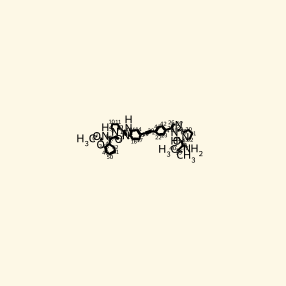 COC(=O)N[C@@H](C(=O)N1CCC[C@H]1c1nc2ccc(C#Cc3ccc(-c4cnc([C@@H]5CCCN5C(=O)[C@@H](N)C(C)C)[nH]4)cc3)cc2[nH]1)C1C=CC=CC1